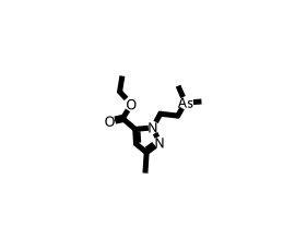 CCOC(=O)c1cc(C)nn1CC[As](C)C